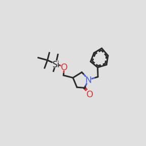 CC(C)(C)[Si](C)(C)OCC1CC(=O)N(Cc2ccccc2)C1